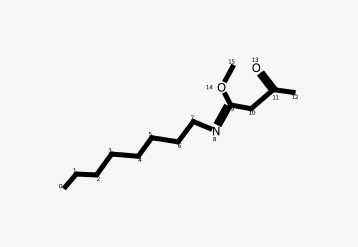 CCCCCCCCN=C(CC(C)=O)OC